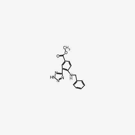 COC(=O)c1ccc(NCc2ccccc2)c(-c2nn[nH]n2)c1